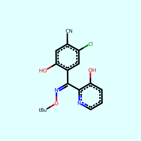 CC(C)(C)O/N=C(/c1cc(Cl)c(C#N)cc1O)c1ncccc1O